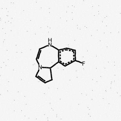 Fc1ccc2c(c1)C1CC=CN1C=CN2